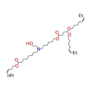 CC/C=C\CCCCOC(CCC(=O)OCCCCCCN(CCO)CCCCCCCC(=O)OCC/C=C\CCC)OCCCC/C=C\CC